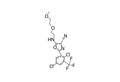 COCCOCCNc1oc(-c2cc(Cl)cc(C(F)(F)F)c2Cl)nc1C#N